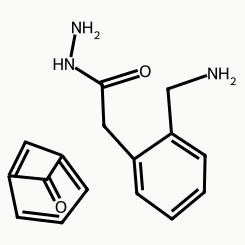 NCc1ccccc1CC(=O)NN.O=C1c2cccc1c2